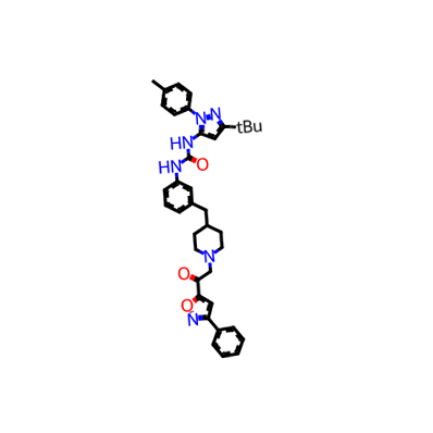 Cc1ccc(-n2nc(C(C)(C)C)cc2NC(=O)Nc2cccc(CC3CCN(CC(=O)c4cc(-c5ccccc5)no4)CC3)c2)cc1